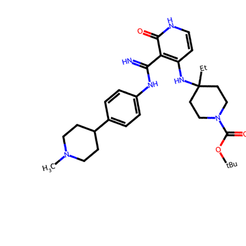 CCC1(Nc2cc[nH]c(=O)c2C(=N)Nc2ccc(C3CCN(C)CC3)cc2)CCN(C(=O)OC(C)(C)C)CC1